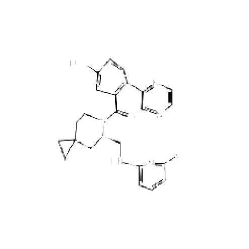 Cc1ccc(-c2cnccn2)c(C(=O)N2CCC3(CC3)C[C@@H]2CNc2cccc(C(F)(F)F)n2)c1